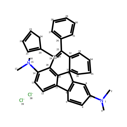 CN(C)c1ccc2c(c1)Cc1c-2ccc(N(C)C)[c]1[Zr+2]([C]1=CC=CC1)=[C](c1ccccc1)c1ccccc1.[Cl-].[Cl-]